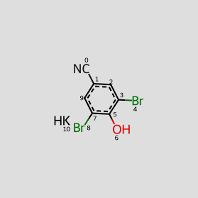 N#Cc1cc(Br)c(O)c(Br)c1.[KH]